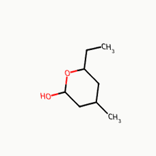 CCC1CC(C)CC(O)O1